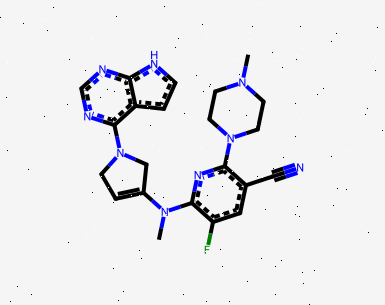 CN1CCN(c2nc(N(C)C3=CCN(c4ncnc5[nH]ccc45)C3)c(F)cc2C#N)CC1